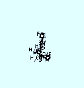 CC(=O)N(NCc1cccc(F)c1Cl)[C](COC(=O)Nc1cc(-c2cccc(F)c2)on1)CC(C)(F)F